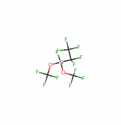 FC(F)(F)O[Si](F)(OC(F)(F)F)C(F)(F)C(F)(F)F